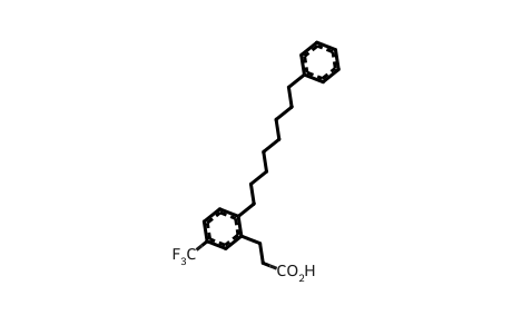 O=C(O)CCc1cc(C(F)(F)F)ccc1CCCCCCCCc1ccccc1